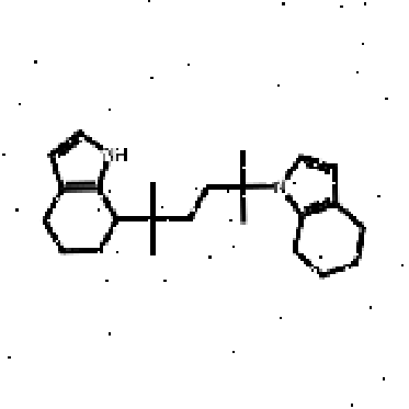 CC(C)(CCC(C)(C)n1ccc2c1CCCC2)C1CCCc2cc[nH]c21